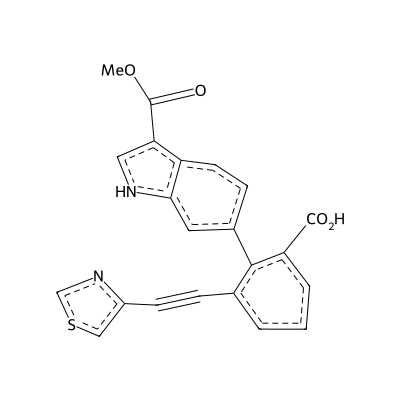 COC(=O)c1c[nH]c2cc(-c3c(C#Cc4cscn4)cccc3C(=O)O)ccc12